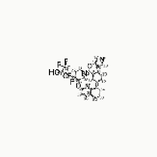 O=C(O)C(F)(F)F.O=C(c1ccccc1-n1ccnc1)N1CCC(F)(F)C(Oc2ccc3ccccc3n2)C1